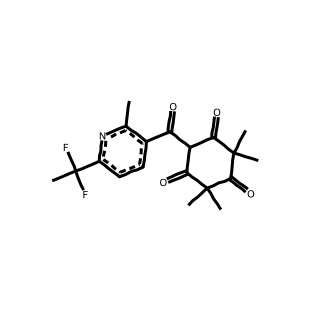 Cc1nc(C(C)(F)F)ccc1C(=O)C1C(=O)C(C)(C)C(=O)C(C)(C)C1=O